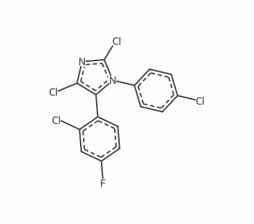 Fc1ccc(-c2c(Cl)nc(Cl)n2-c2ccc(Cl)cc2)c(Cl)c1